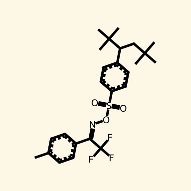 Cc1ccc(C(=NOS(=O)(=O)c2ccc(C(CC(C)(C)C)C(C)(C)C)cc2)C(F)(F)F)cc1